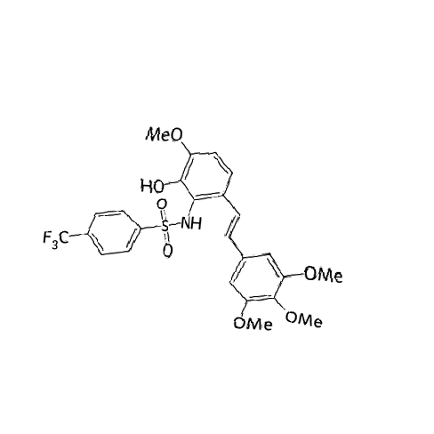 COc1ccc(C=Cc2cc(OC)c(OC)c(OC)c2)c(NS(=O)(=O)c2ccc(C(F)(F)F)cc2)c1O